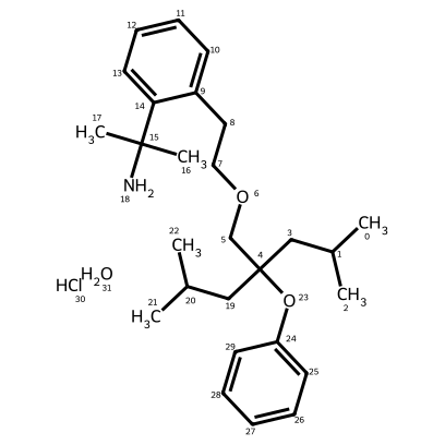 CC(C)CC(COCCc1ccccc1C(C)(C)N)(CC(C)C)Oc1ccccc1.Cl.O